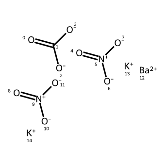 O=C([O-])[O-].O=[N+]([O-])[O-].O=[N+]([O-])[O-].[Ba+2].[K+].[K+]